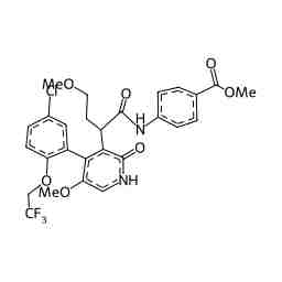 COCCC(C(=O)Nc1ccc(C(=O)OC)cc1)c1c(-c2cc(Cl)ccc2OCC(F)(F)F)c(OC)c[nH]c1=O